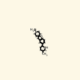 CC1CCC(c2ccc3c(c2)CC2(CCN(C)CC2)O3)NC1